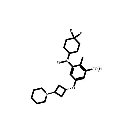 CCN(c1cc(O[C@H]2C[C@H](N3CCCCC3)C2)cc(C(=O)O)c1C)C1CCC(F)(F)CC1